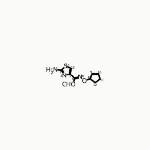 Nc1nc(/C([C]=O)=N/OC2C=CCC2)cs1